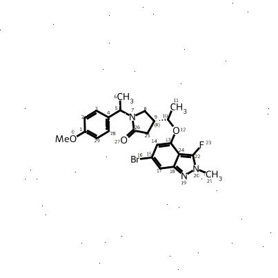 COc1ccc(C(C)N2C[C@H](C(C)Oc3cc(Br)cc4nn(C)c(F)c34)CC2=O)cc1